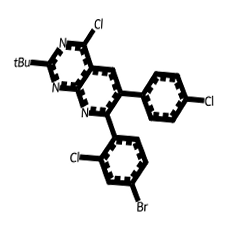 CC(C)(C)c1nc(Cl)c2cc(-c3ccc(Cl)cc3)c(-c3ccc(Br)cc3Cl)nc2n1